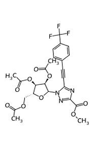 COC(=O)c1nc(C#Cc2ccc(C(F)(F)F)cc2)n(C2O[C@H](COC(C)=O)[C@@H](OC(C)=O)[C@H]2OC(C)=O)n1